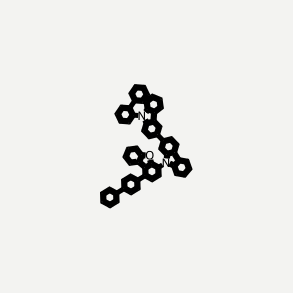 c1ccc(-c2ccc(-c3ccc(-n4c5ccccc5c5ccc(-c6ccc7c(c6)c6ccccc6n7-c6ccccc6-c6ccccc6)cc54)c4oc5ccccc5c34)cc2)cc1